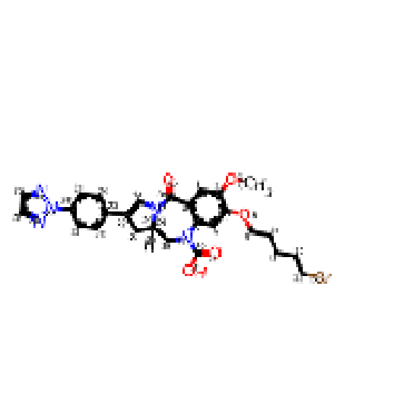 COc1cc2c(cc1OCCCCCBr)N(C(=O)O)C[C@@H]1CC(c3ccc(-n4nccn4)cc3)=CN1C2=O